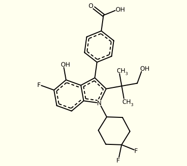 CC(C)(CO)c1c(-c2ccc(C(=O)O)cc2)c2c(O)c(F)ccc2n1C1CCC(F)(F)CC1